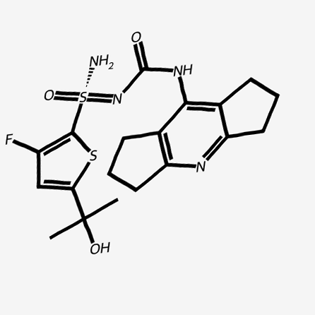 CC(C)(O)c1cc(F)c([S@@](N)(=O)=NC(=O)Nc2c3c(nc4c2CCC4)CCC3)s1